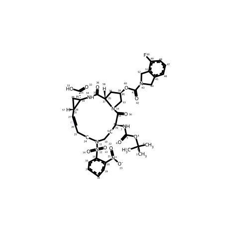 CC(C)(C)OC(=O)N[C@H]1CCN(S(=O)(=O)c2ccccc2[N+](=O)[O-])CC/C=C\[C@@H]2C[C@@]2(C(=O)O)NC(=O)[C@@H]2C[C@@H](OC(=O)N3Cc4cccc(F)c4C3)CN2C1=O